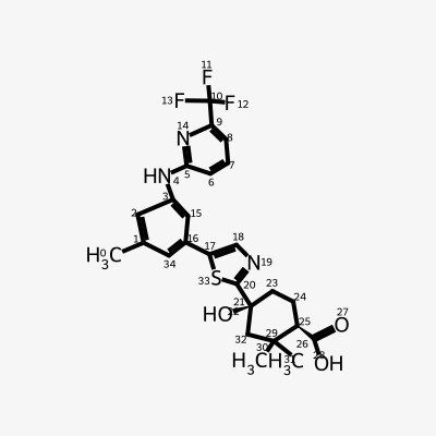 Cc1cc(Nc2cccc(C(F)(F)F)n2)cc(-c2cnc([C@]3(O)CC[C@@H](C(=O)O)C(C)(C)C3)s2)c1